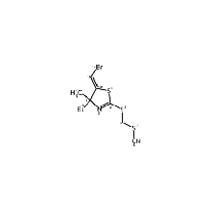 CCC1(C)N=C(SCSC#N)SC1=CBr